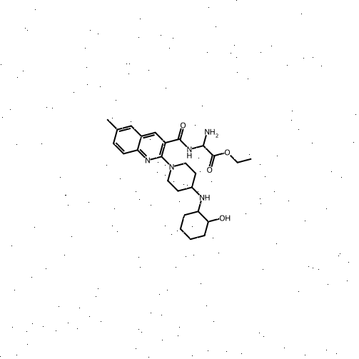 CCOC(=O)C(N)NC(=O)c1cc2cc(C)ccc2nc1N1CCC(NC2CCCCC2O)CC1